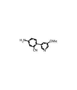 COc1cncc(-c2ccc(N)cc2C#N)c1